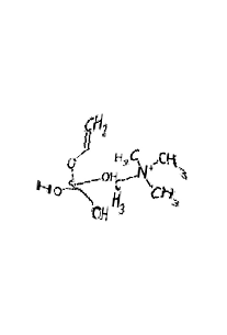 C=CO[Si](O)(O)O.C[N+](C)(C)C